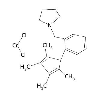 CC1=C(C)C(c2ccccc2CN2CCCC2)C(C)=C1C.[Cl][Cr][Cl]